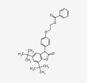 CC(C)(C)c1cc2c(c(C(C)(C)C)c1)OC(=O)C2c1ccc(OCCOC(=O)c2ccccc2)cc1